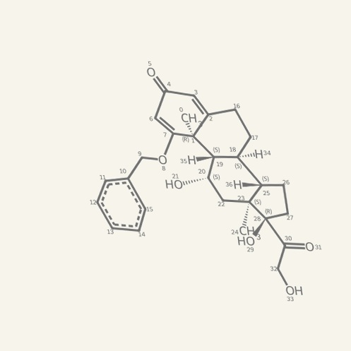 C[C@@]12C(=CC(=O)C=C1OCc1ccccc1)CC[C@@H]1[C@@H]2[C@@H](O)C[C@@]2(C)[C@H]1CC[C@]2(O)C(=O)CO